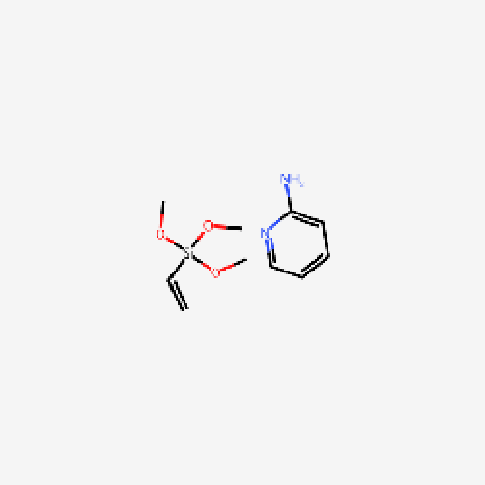 C=C[Si](OC)(OC)OC.Nc1ccccn1